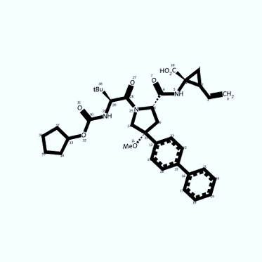 C=CC1C[C@]1(NC(=O)[C@@H]1C[C@@](OC)(c2ccc(-c3ccccc3)cc2)CN1C(=O)[C@@H](NC(=O)OC1CCCC1)C(C)(C)C)C(=O)O